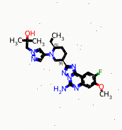 CC[C@H]1CC[C@@H](c2nc3c4cc(F)c(OC)cc4nc(N)n3n2)CN1c1cnn(CC(C)(C)O)c1